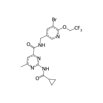 Cc1cc(C(=O)NCc2cnc(OCC(F)(F)F)c(Br)c2)nc(NC(=O)C2CC2)n1